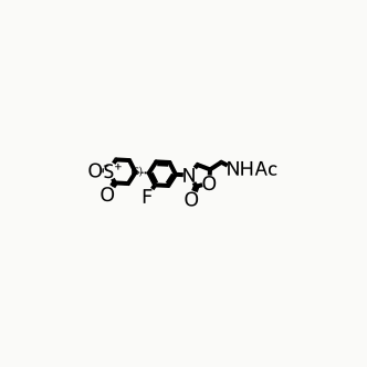 CC(=O)NCC1CN(c2ccc([C@H]3CC[S+]([O-])C(=O)C3)c(F)c2)C(=O)O1